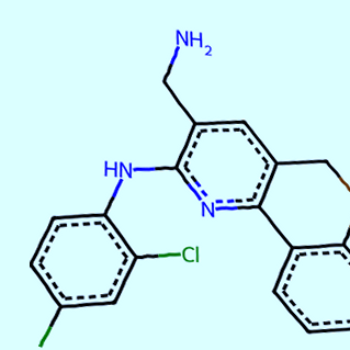 NCc1cc2c(nc1Nc1ccc(Cl)cc1Cl)-c1ccccc1SC2